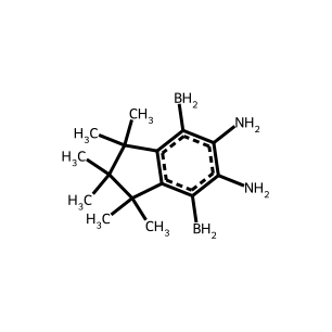 Bc1c(N)c(N)c(B)c2c1C(C)(C)C(C)(C)C2(C)C